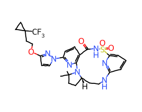 CC1(C)CC[C@H]2CCNc3cccc(n3)S(=O)(=O)NC(=O)c3ccc(-n4ccc(OCCC5(C(F)(F)F)CC5)n4)nc3N21